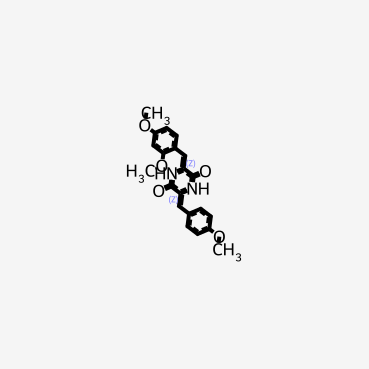 COc1ccc(/C=c2\[nH]c(=O)/c(=C/c3ccc(OC)cc3OC)[nH]c2=O)cc1